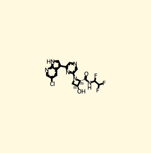 O=C(NC(F)C(F)F)[C@@H]1[C@@H](O)CN1c1cncc(-c2c[nH]c3ncc(Cl)cc23)n1